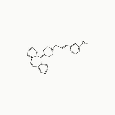 COc1cccc(/C=C/CN2CCC(=C3c4ccccc4C=Cc4ccccc43)CC2)c1